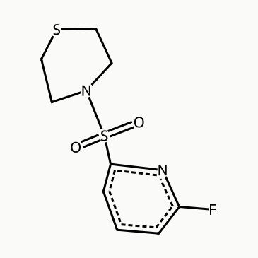 O=S(=O)(c1cccc(F)n1)N1CCSCC1